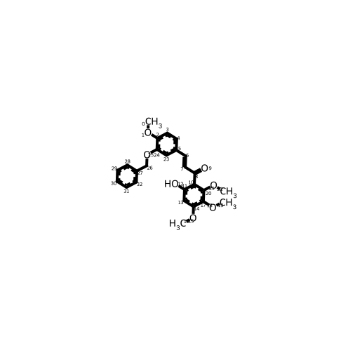 COc1ccc(/C=C/C(=O)c2c(O)cc(OC)c(OC)c2OC)cc1OCc1ccccc1